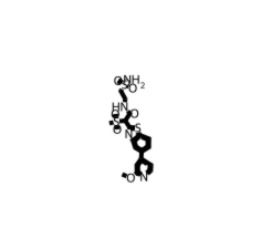 COc1cc(-c2ccc3sc(C(C(=O)NCCS(N)(=O)=O)S(C)(=O)=O)nc3c2)ccn1